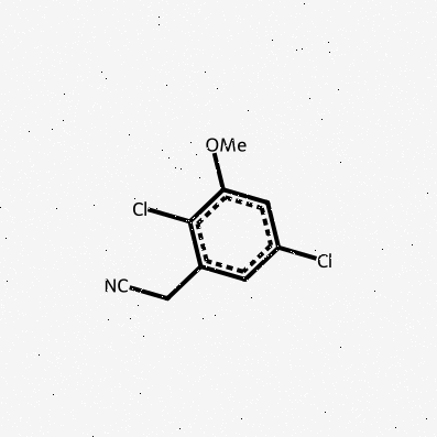 COc1cc(Cl)cc(CC#N)c1Cl